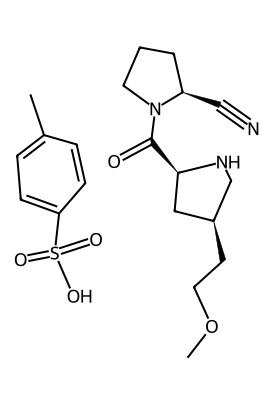 COCC[C@@H]1CN[C@H](C(=O)N2CCC[C@H]2C#N)C1.Cc1ccc(S(=O)(=O)O)cc1